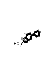 O=C(O)c1cc2cc(-c3ccccc3)ccc2[nH]1